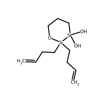 C=CCC[Si]1(CCC=C)OCCC[Si]1(O)O